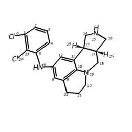 Clc1cccc(Nc2cc3c4c(c2)[C@@H]2CNC[C@@H]2CN4CCC3)c1Cl